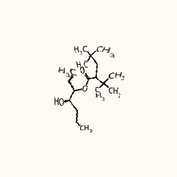 CCCC(O)C(CC)OC(=O)C(CC(C)(C)C)C(C)(C)C